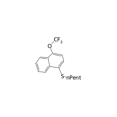 CCCCCSc1ccc(OC(F)(F)F)c2ccccc12